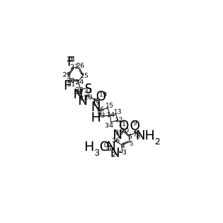 Cn1ncc2cc(C(N)=O)c(OC3CC4(CC(NC(=O)c5nnc(-c6ccc(F)cc6F)s5)C4)C3)nc21